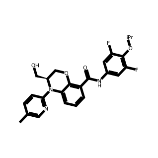 Cc1ccc(N2c3cccc(C(=O)Nc4cc(F)c(OC(C)C)c(F)c4)c3OC[C@@H]2CO)nc1